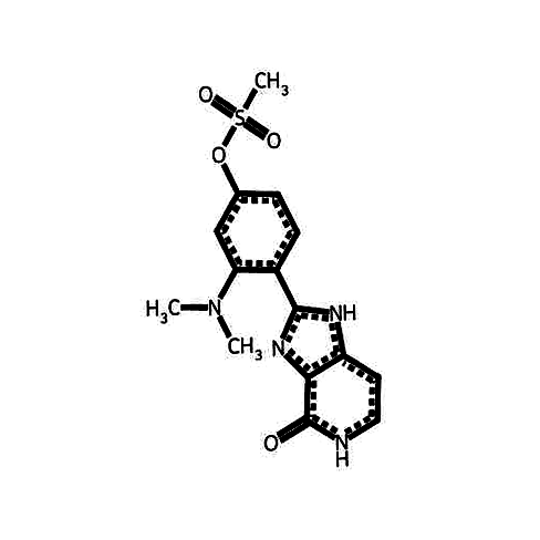 CN(C)c1cc(OS(C)(=O)=O)ccc1-c1nc2c(=O)[nH]ccc2[nH]1